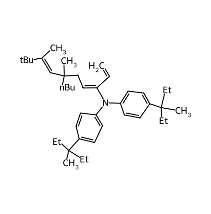 C=C/C(=C\CC(C)(/C=C(\C)C(C)(C)C)CCCC)N(c1ccc(C(C)(CC)CC)cc1)c1ccc(C(C)(CC)CC)cc1